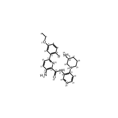 CCOc1ccc(F)c(-c2ccc(N)c(C(=O)Nc3cnccc3N3CCC[C@H](N)C3)n2)c1